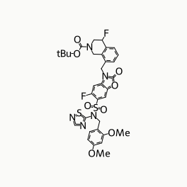 COc1ccc(CN(c2ncns2)S(=O)(=O)c2cc3oc(=O)n(Cc4cccc5c4CN(C(=O)OC(C)(C)C)CC5F)c3cc2F)c(OC)c1